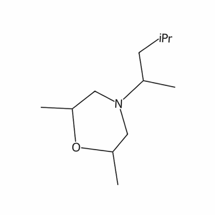 CC(C)CC(C)N1CC(C)OC(C)C1